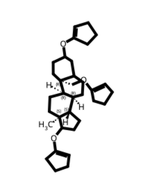 C[C@]12CC[C@@H]3[C@@H](CCC4CC(OC5=CCCC5)CC[C@@]43COC3=CCCC3)[C@@H]1CCC2OC1=CCCC1